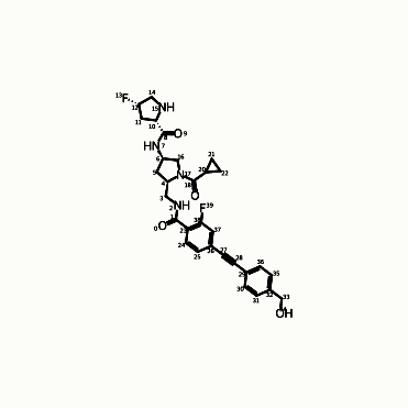 O=C(NC[C@H]1C[C@@H](NC(=O)[C@@H]2C[C@H](F)CN2)CN1C(=O)C1CC1)c1ccc(C#Cc2ccc(CO)cc2)cc1F